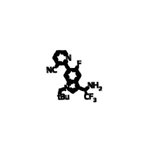 CC(C)(C)Cn1cc([C@@H](N)C(F)(F)F)c2cc(F)c(-c3ncccc3C#N)cc21